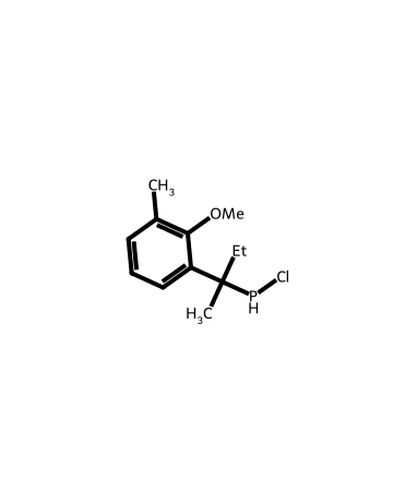 CCC(C)(PCl)c1cccc(C)c1OC